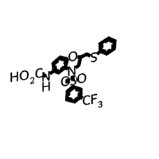 O=C(O)Nc1ccc2c(c1)N(S(=O)(=O)c1cccc(C(F)(F)F)c1)CC(CSc1ccccc1)O2